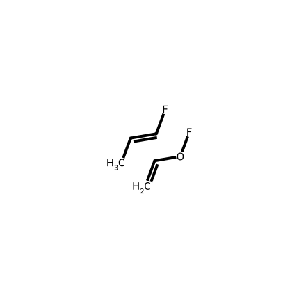 C=COF.CC=CF